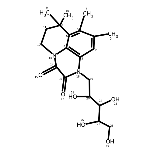 Cc1cc2c3c(c1C)C(C)(C)CCn3c(=O)c(=O)n2CC(O)C(O)C(O)CO